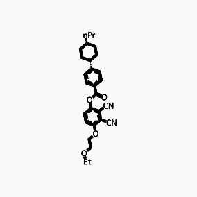 CCC[C@H]1CC[C@H](c2ccc(C(=O)Oc3ccc(OCCOCC)c(C#N)c3C#N)cc2)CC1